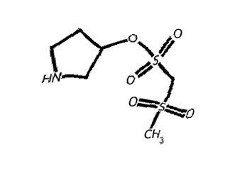 CS(=O)(=O)CS(=O)(=O)OC1CCNC1